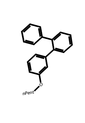 CCCCCOc1cccc(-c2ccccc2-c2ccccc2)c1